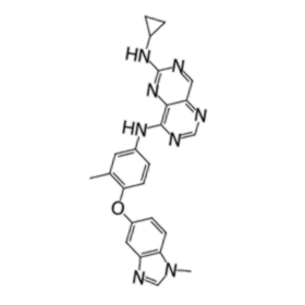 Cc1cc(Nc2ncnc3cnc(NC4CC4)nc23)ccc1Oc1ccc2c(c1)ncn2C